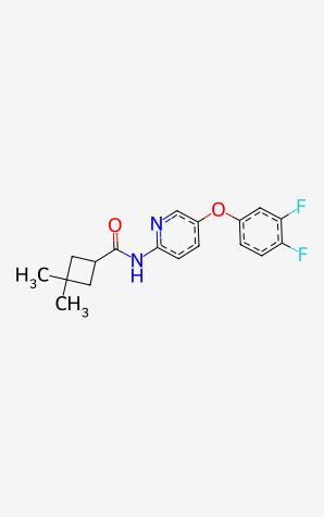 CC1(C)CC(C(=O)Nc2ccc(Oc3ccc(F)c(F)c3)cn2)C1